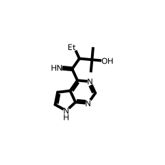 CCC(C(=N)c1ncnc2[nH]ccc12)C(C)(C)O